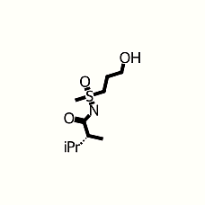 CC(C)[C@@H](C)C(=O)N=S(C)(=O)CCCO